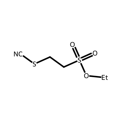 CCOS(=O)(=O)CCSC#N